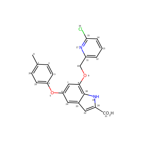 Cc1ccc(Oc2cc(OCc3cccc(Cl)n3)c3[nH]c(C(=O)O)cc3c2)cc1